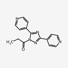 CCC(=O)n1nc(-c2ccncc2)nc1-c1ccncc1